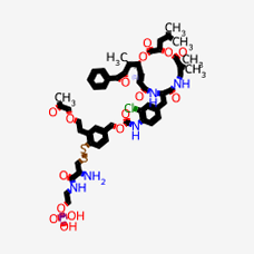 CC(=O)COCCc1cc(COC(=O)Nc2ccc(CC3NC(=O)/C=C/[C@@H]([C@@H](C)C4OC4c4ccccc4)OC(=O)C(CC(C)C)OC(=O)C(C)(C)CNC3=O)cc2Cl)ccc1SSCC(N)C(=O)NCCOP(=O)(O)O